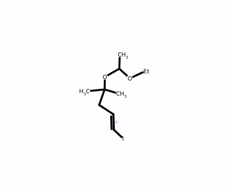 CCOC(C)OC(C)(C)C/C=C/I